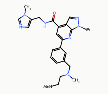 CNCCN(C)Cc1cccc(-c2cc(C(=O)NCc3cncn3C)c3cnn(C(C)C)c3n2)c1